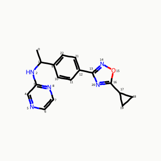 CC(Nc1cnccn1)c1ccc(-c2noc(C3CC3)n2)cc1